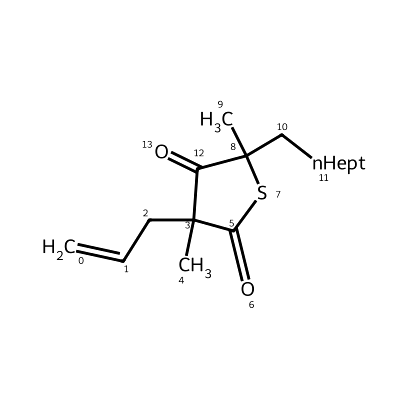 C=CCC1(C)C(=O)SC(C)(CCCCCCCC)C1=O